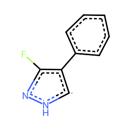 Fc1n[nH][c]c1-c1ccccc1